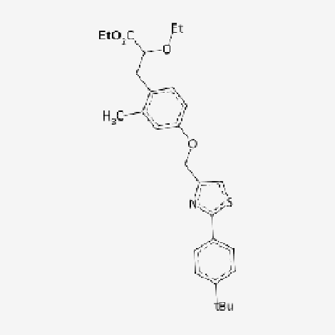 CCOC(=O)C(Cc1ccc(OCc2csc(-c3ccc(C(C)(C)C)cc3)n2)cc1C)OCC